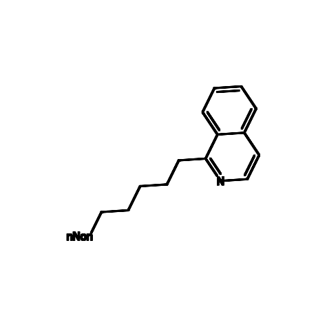 CCCCCCCCCCCCCCc1nccc2ccccc12